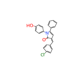 O=C1/C(=C\c2ccc(Cl)cc2)C=C(c2ccccc2)N1c1ccc(O)cc1